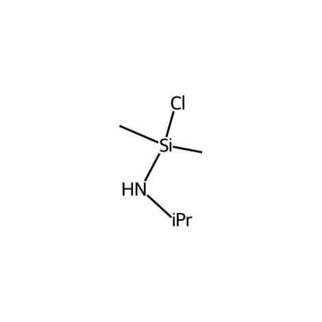 CC(C)N[Si](C)(C)Cl